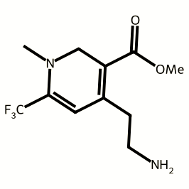 COC(=O)C1=C(CCN)C=C(C(F)(F)F)N(C)C1